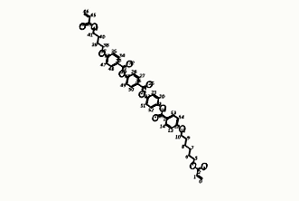 C=CC(=O)OCCCCCCOc1ccc(C(=O)Oc2ccc(OC(=O)c3ccc(OC(=O)c4ccc(OCCCCOC(=O)C=C)cc4)cc3)cc2)cc1